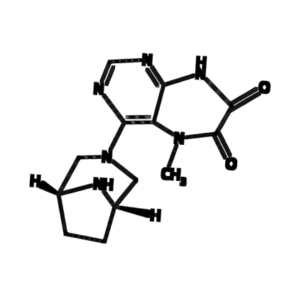 Cn1c(=O)c(=O)[nH]c2ncnc(N3C[C@H]4CC[C@@H](C3)N4)c21